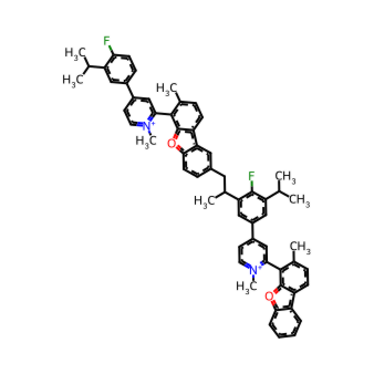 Cc1ccc2c(oc3ccccc32)c1-c1cc(-c2cc(C(C)C)c(F)c(C(C)Cc3ccc4oc5c(-c6cc(-c7ccc(F)c(C(C)C)c7)cc[n+]6C)c(C)ccc5c4c3)c2)cc[n+]1C